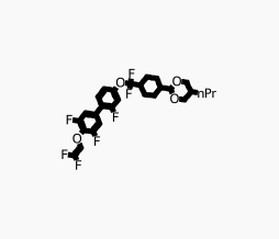 CCCC1COC(C2CCC(C(F)(F)Oc3ccc(-c4cc(F)c(OC=C(F)F)c(F)c4)c(F)c3)CC2)OC1